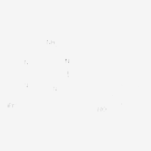 CC(C)Cn1cnc2c(N)nc(C#CC3(O)C4CC5CC(C4)CC3C5)nc21